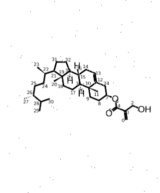 C=C(CO)C(=O)O[C@H]1CC[C@@]2(C)C(=CC[C@@H]3[C@@H]2CC[C@]2(C)C([C@H](C)CC[C@@H](C)C(C)C)CC[C@@H]32)C1